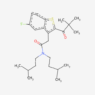 CC(C)CCN(CCC(C)C)C(=O)Cc1c(C(=O)C(C)(C)C)sc2ccc(F)cc12